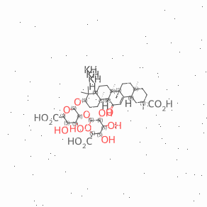 CC1(C)[C@@H](O[C@H]2O[C@H](C(=O)O)[C@@H](O)[C@H](O)[C@H]2O[C@@H]2O[C@H](C(=O)O)[C@@H](O)[C@H](O)[C@H]2O)CC[C@]2(C)[C@H]3C(=O)C=C4[C@@H]5C[C@@](C)(C(=O)O)CC[C@]5(C)CC[C@@]4(C)[C@]3(C)CC[C@@H]12.[KH].[KH].[KH]